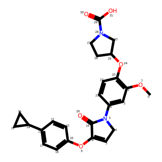 COc1cc(N2CC=C(Oc3ccc(C4CC4)cc3)C2=O)ccc1OC1CCN(C(=O)O)C1